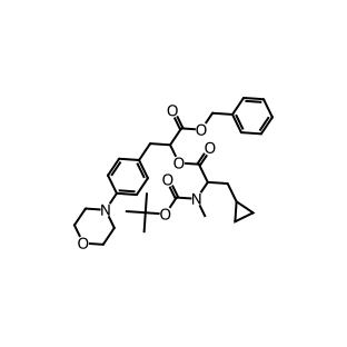 CN(C(=O)OC(C)(C)C)C(CC1CC1)C(=O)OC(Cc1ccc(N2CCOCC2)cc1)C(=O)OCc1ccccc1